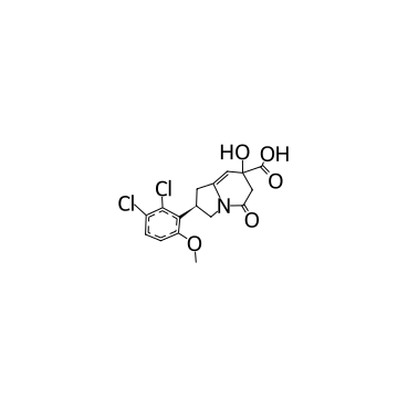 COc1ccc(Cl)c(Cl)c1[C@H]1CC2=CC(O)(C(=O)O)CC(=O)N2C1